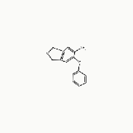 Nc1cc2c(cc1Oc1ccccc1)COC2